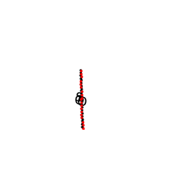 CCCCCCCCCCCCCCCCCCOC(=O)CC(=S)CCCCCCCCCCCCCCCCCC